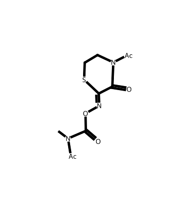 CC(=O)N(C)C(=O)ON=C1SCCN(C(C)=O)C1=O